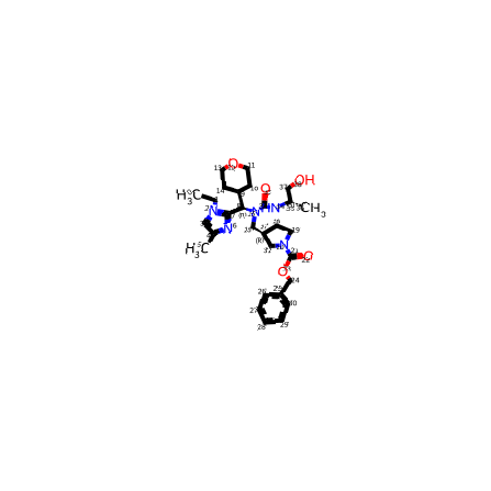 CCn1cc(C)nc1[C@@H](C1CCOCC1)N(C[C@H]1CCN(C(=O)OCc2ccccc2)C1)C(=O)N[C@@H](C)CO